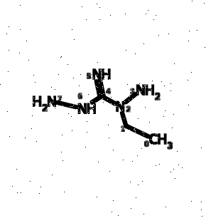 CCN(N)C(=N)NN